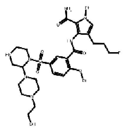 CCOc1ccc(S(=O)(=O)N2CCNCC2N2CCN(CCO)CC2)cc1C(=O)Nc1c(CCCF)cn(CC)c1C(N)=O